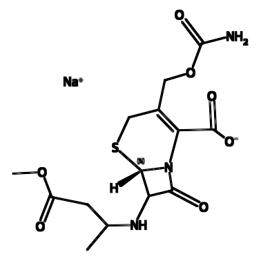 COC(=O)CC(C)NC1C(=O)N2C(C(=O)[O-])=C(COC(N)=O)CS[C@@H]12.[Na+]